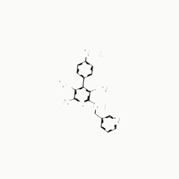 CC(=O)Nc1ccc(-c2c(C#N)c(N)nc(NCc3cccnc3)c2C#N)cc1